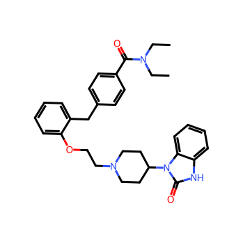 CCN(CC)C(=O)c1ccc(Cc2ccccc2OCCN2CCC(n3c(=O)[nH]c4ccccc43)CC2)cc1